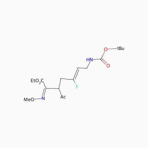 CCOC(=O)/C(=N\OC)C(C/C(F)=C/CNC(=O)OC(C)(C)C)C(C)=O